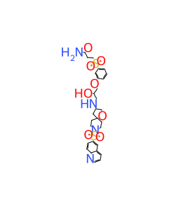 NC(=O)CCS(=O)(=O)c1cccc(OCC(O)CNC2COC3(CCN(S(=O)(=O)c4ccc5ncccc5c4)CC3)C2)c1